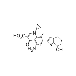 Cc1c(-c2cc3c(s2)C(O)CCC3)cc(N)c2c(=O)c(C(=O)O)cn(C3CC3)c12